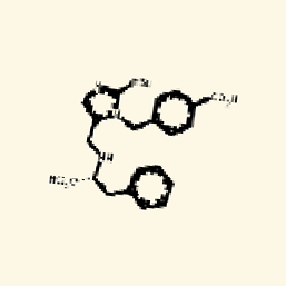 CCCCc1ncc(CN[C@H](Cc2ccccc2)C(=O)O)n1Cc1ccc(C(=O)O)cc1